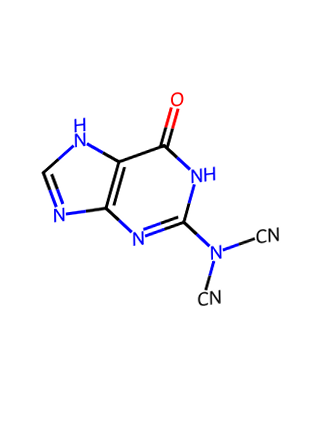 N#CN(C#N)c1nc2nc[nH]c2c(=O)[nH]1